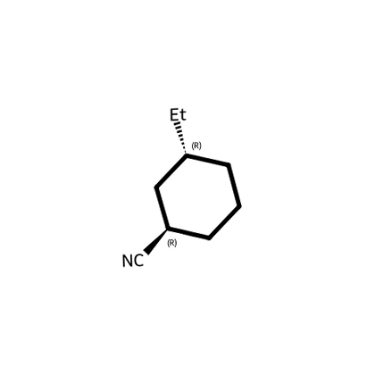 CC[C@@H]1CCC[C@@H](C#N)C1